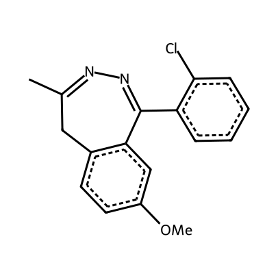 COc1ccc2c(c1)C(c1ccccc1Cl)=NN=C(C)C2